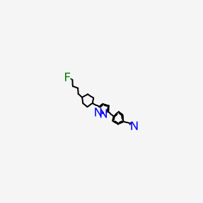 N#Cc1ccc(-c2ccc(C3CCC(CCCCF)CC3)nn2)cc1